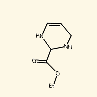 CCOC(=O)C1NC=CCN1